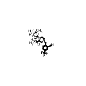 CC(C)(C)OC(=O)N1CCN(Cc2ccc(C(F)(F)F)cc2C#N)CC1C(C)(C)C